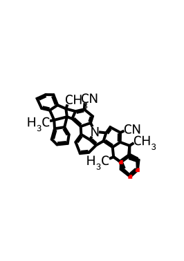 CC12c3ccccc3C(C)(c3ccccc31)c1c2c(C#N)cc2c1c1cccc3c4c5c(c(C#N)cc4n2c13)C1(C)c2ccccc2C2(C)c3ccccc3C521